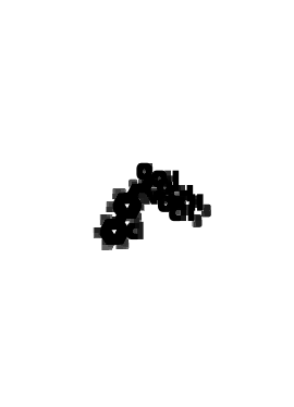 CC(C)(C)OC(=O)NC(Cc1ccc(-c2ccccc2Cl)cc1)C(=O)O